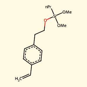 C=Cc1ccc(CCO[Si](CCC)(OC)OC)cc1